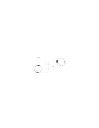 CC1([PH]2(O)N(c3ccccc3)CCN2c2ccccc2)CCCC(=O)C1